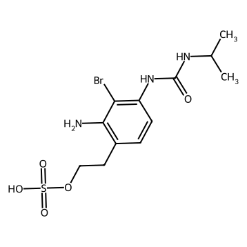 CC(C)NC(=O)Nc1ccc(CCOS(=O)(=O)O)c(N)c1Br